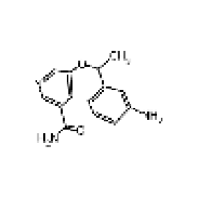 CC(Oc1cncc(C(N)=O)c1)c1cccc(N)c1